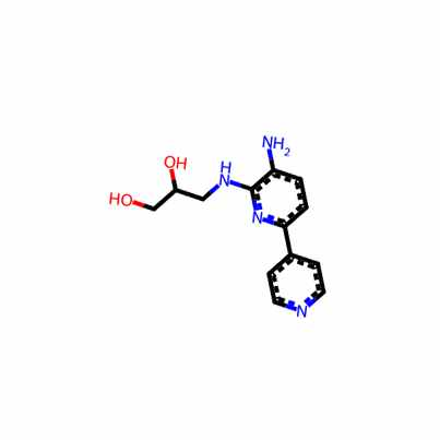 Nc1ccc(-c2ccncc2)nc1NCC(O)CO